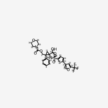 O=C(OCC1(c2ccccc2)CC1(NS(=O)(=O)c1ccc(-c2cc(C(F)(F)F)on2)s1)C(=O)O)N1CCOCC1